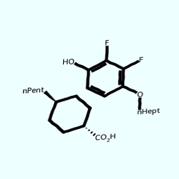 CCCCCCCOc1ccc(O)c(F)c1F.CCCCC[C@H]1CC[C@H](C(=O)O)CC1